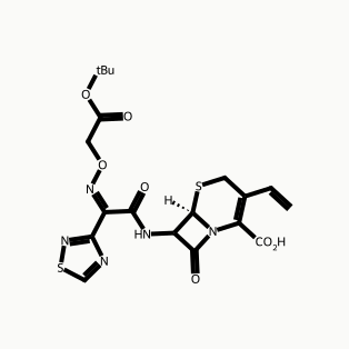 C=CC1=C(C(=O)O)N2C(=O)C(NC(=O)/C(=N\OCC(=O)OC(C)(C)C)c3ncsn3)[C@H]2SC1